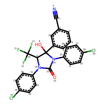 N#Cc1cccc(C2(O)C(C(F)(F)F)N(c3ccc(Cl)cc3)C(=O)N2c2ccc(Cl)cc2)c1